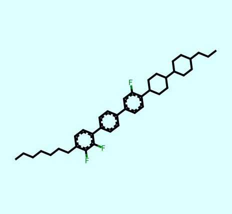 CCCCCCCc1ccc(-c2ccc(-c3ccc(C4CCC(C5CCC(CCC)CC5)CC4)c(F)c3)cc2)c(F)c1F